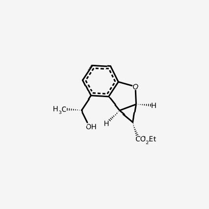 CCOC(=O)[C@H]1[C@@H]2Oc3cccc([C@@H](C)O)c3[C@@H]21